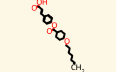 C=CCCCCCOC1CCC(C(=O)Oc2ccc(C=CC(=O)O)cc2)CC1